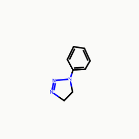 c1ccc(N2CCN=N2)cc1